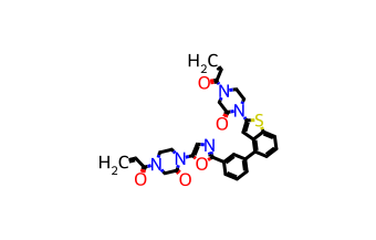 C=CC(=O)N1CCN(c2cnc(-c3cccc(-c4cccc5sc(N6CCN(C(=O)C=C)CC6=O)cc45)c3)o2)C(=O)C1